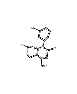 CNc1nc(=O)n(-c2cccc(O)c2)c2cc(Cl)ccc12